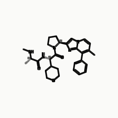 CN[C@@H](C)C(=O)N[C@H](C(=O)N1CCC[C@H]1c1cn2ccc(C)c(-c3ccccc3)c2n1)C1CCOCC1